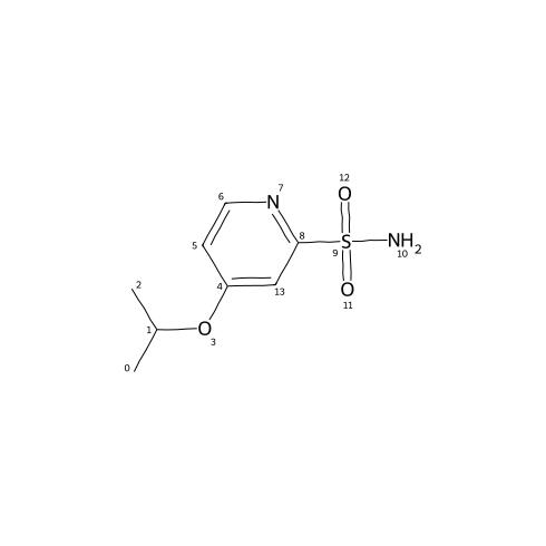 CC(C)Oc1ccnc(S(N)(=O)=O)c1